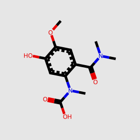 COc1cc(C(=O)N(C)C)c(N(C)C(=O)O)cc1O